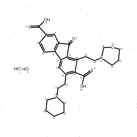 Cl.Cl.O=C1c2cc(C(O)=S)ccc2-c2cc(CCN3CCCCC3)c(C(O)=S)c(CCN3CCCCC3)c21